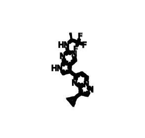 C[C@H](Nc1ncc2c(-c3ccn4ncc(C5CC5)c4n3)c[nH]c2n1)C(F)(F)F